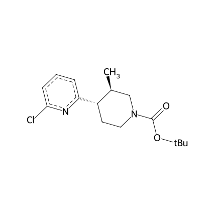 C[C@H]1CN(C(=O)OC(C)(C)C)CC[C@@H]1c1cccc(Cl)n1